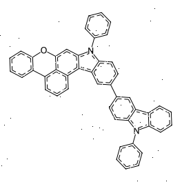 c1ccc(-n2c3ccccc3c3cc(-c4ccc5c(c4)c4c6cccc7c6c(cc4n5-c4ccccc4)Oc4ccccc4-7)ccc32)cc1